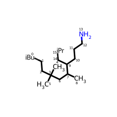 CCC(C)CCC(C)(C)CC(C)C(CCCN)CC(C)C